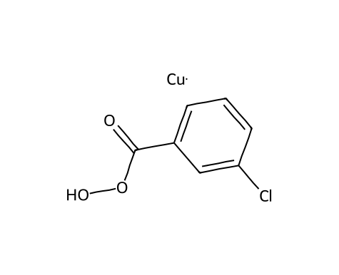 O=C(OO)c1cccc(Cl)c1.[Cu]